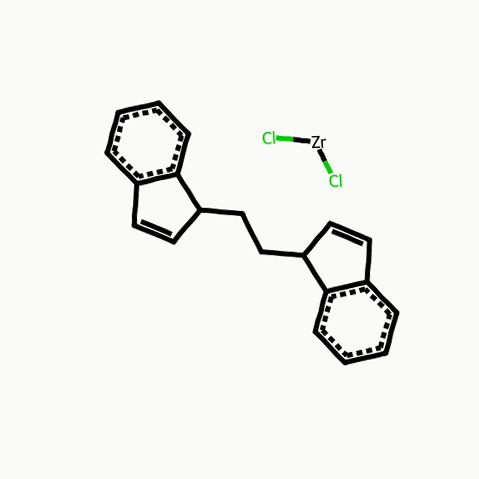 C1=CC(CCC2C=Cc3ccccc32)c2ccccc21.[Cl][Zr][Cl]